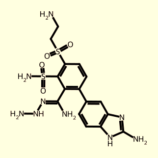 NCCS(=O)(=O)c1ccc(-c2ccc3[nH]c(N)nc3c2)c(/C(N)=N/NN)c1S(N)(=O)=O